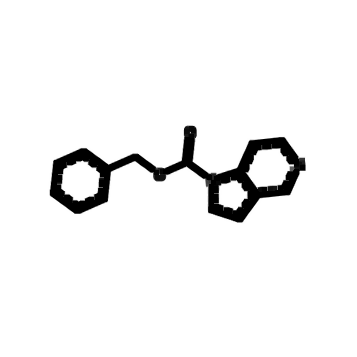 O=C(OCc1ccccc1)n1ccc2cnccc21